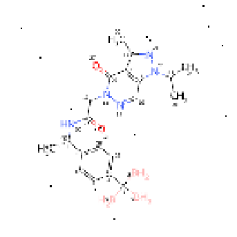 BC(B)(B)c1ccc([C@H](C)NC(=O)Cn2ncc3c(c(C)nn3C(C)C)c2=O)cc1